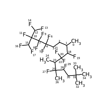 CC(CCC(F)(F)C(F)(F)C(F)(C(F)F)C(F)F)C(F)C(F)(F)C(C)C(C)(F)C(F)CC(C)(C)C